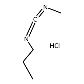 CCCN=C=NC.Cl